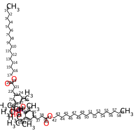 CCCCCCCCCCCCCCCCCCOC(=O)CCc1cc(C)c(O[PH](O)(O)c2c(C)cc(CCC(=O)OCCCCCCCCCCCCCCCCCC)cc2C(C)(C)C)c(C(C)(C)C)c1